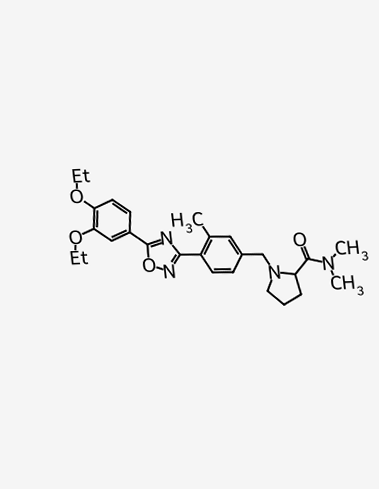 CCOc1ccc(-c2nc(-c3ccc(CN4CCCC4C(=O)N(C)C)cc3C)no2)cc1OCC